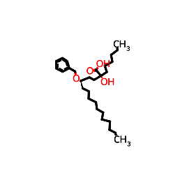 CCCCCCCCCCC[C@H](CC[C@@](O)(CCCCCC)C(=O)O)OCc1ccccc1